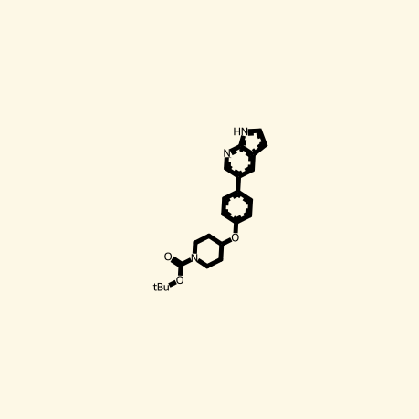 CC(C)(C)OC(=O)N1CCC(Oc2ccc(-c3cnc4[nH]ccc4c3)cc2)CC1